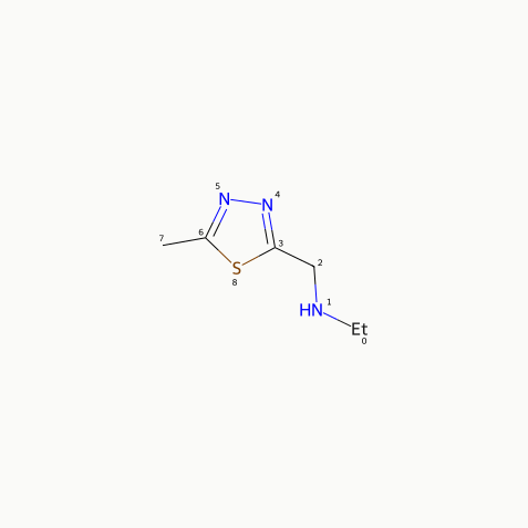 CCNCc1nnc(C)s1